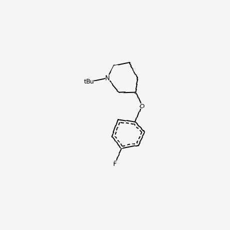 CC(C)(C)N1CCCC(Oc2ccc(F)cc2)C1